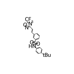 CC(C)(C)c1ccc(NS(=O)(=O)c2cccc(C=Cc3noc(C(F)(F)F)n3)c2)cc1